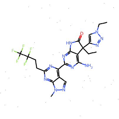 CCn1cc(C2(CC)C(=O)Nc3nc(-c4nc(CCC(F)(F)C(F)(F)F)nc5c4cnn5C)nc(N)c32)nn1